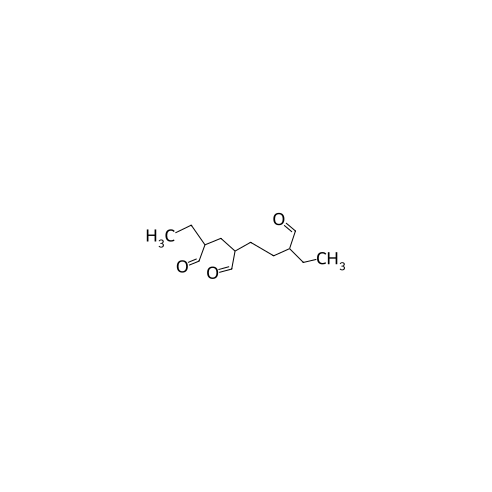 CCC(C=O)CCC(C=O)CC(C=O)CC